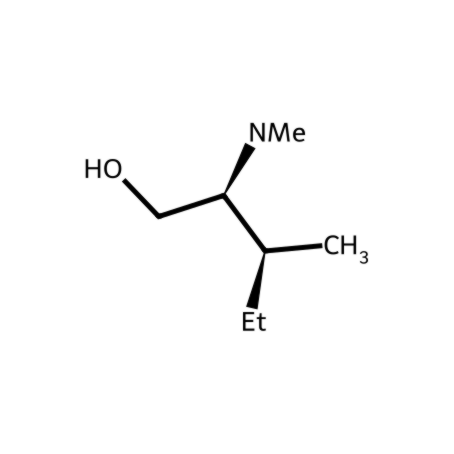 CC[C@H](C)[C@@H](CO)NC